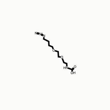 [N-]=[N+]=NCCCCOCCOCCNC(=O)O